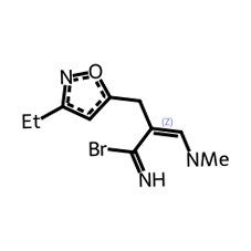 CCc1cc(C/C(=C/NC)C(=N)Br)on1